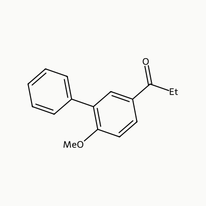 CCC(=O)c1ccc(OC)c(-c2ccccc2)c1